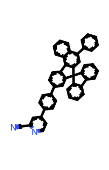 N#Cc1cc(-c2ccc(-c3ccc4c(c3)C3(c5ccccc5-c5ccccc53)c3cc(-c5ccccc5)c5ccccc5c3-4)cc2)ccn1